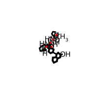 CN1CCC[C@H]1COc1nc(N2[C@@H]3CC[C@H]2CN(C(=O)CNN[SH](=O)=O)C3)c2ccc(-c3cc(O)cc4ccccc34)cc2n1